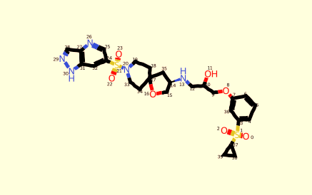 O=S(=O)(c1cccc(OCC(O)CN[C@H]2COC3(CCN(S(=O)(=O)c4cnc5cn[nH]c5c4)CC3)C2)c1)C1CC1